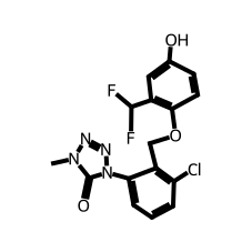 Cn1nnn(-c2cccc(Cl)c2COc2ccc(O)cc2C(F)F)c1=O